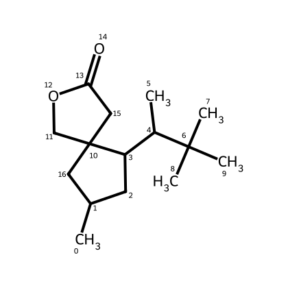 CC1CC(C(C)C(C)(C)C)C2(COC(=O)C2)C1